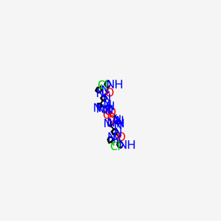 C[C@H](OC(=O)O[C@@H](C)n1nnnc1-c1c(-c2ccc(C(=O)N(c3ncccc3Cl)[C@@H]3CCCNC3)nc2)cnn1C)n1nnnc1-c1c(-c2ccc(C(=O)N(c3ncccc3Cl)[C@@H]3CCCNC3)nc2)cnn1C